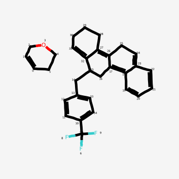 C1=CCOCC1.FC(F)(F)c1ccc(CC2CC3=c4ccccc4=CCC3=C3CCCC=C32)cc1